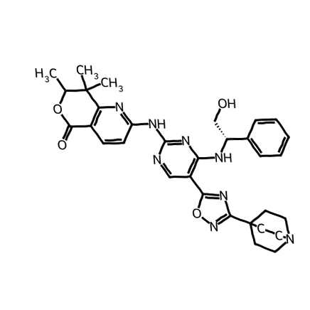 CC1OC(=O)c2ccc(Nc3ncc(-c4nc(C56CCN(CC5)CC6)no4)c(N[C@H](CO)c4ccccc4)n3)nc2C1(C)C